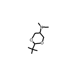 CN(C)C1COC(C(C)(C)C)OC1